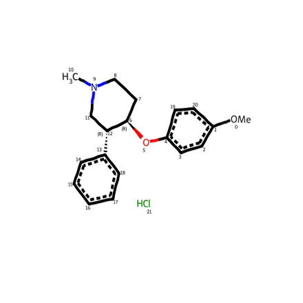 COc1ccc(O[C@@H]2CCN(C)C[C@H]2c2ccccc2)cc1.Cl